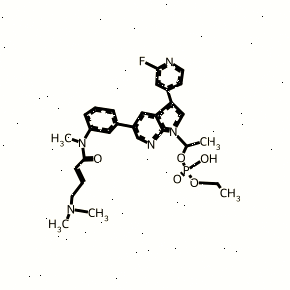 CCOP(=O)(O)OC(C)n1cc(-c2ccnc(F)c2)c2cc(-c3cccc(N(C)C(=O)/C=C/CN(C)C)c3)cnc21